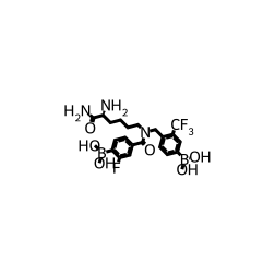 NC(=O)[C@@H](N)CCCCN(Cc1ccc(B(O)O)cc1C(F)(F)F)C(=O)c1ccc(B(O)O)c(F)c1